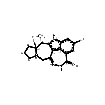 C[C@@H]1c2[nH]c3cc(F)cc4c3c2C(=NNC4=O)CN2CCC[C@H]12